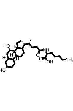 C[C@H](CCC(=O)NC(CCCCN)C(=O)O)[C@H]1CC[C@H]2[C@@H]3[C@H](O)C[C@@H]4C[C@H](O)CC[C@]4(C)[C@H]3CC[C@]12C